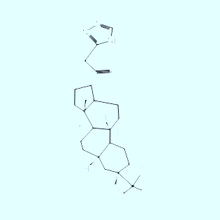 C[C@]12CC[C@H]3[C@@H](CC[C@H]4C[C@@](O)(C(F)(F)F)CC[C@@H]43)[C@@H]1CC[C@@H]2C(=O)Cc1nnc[nH]1